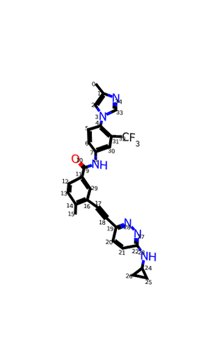 Cc1cn(-c2ccc(NC(=O)c3ccc(C)c(C#Cc4ccc(NC5CC5)nn4)c3)cc2C(F)(F)F)cn1